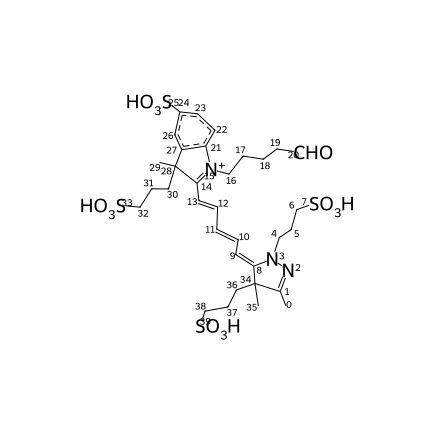 CC1=NN(CCCS(=O)(=O)O)\C(=C/C=C/C=C/C2=[N+](CCCCC=O)c3ccc(S(=O)(=O)O)cc3C2(C)CCCS(=O)(=O)O)C1(C)CCCS(=O)(=O)O